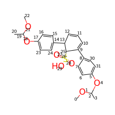 COC(C)Oc1ccc(C2=CC=CC(c3ccc(OC(C)OC)cc3)C2S(=O)(=O)O)cc1